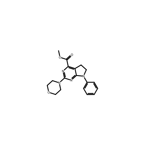 COC(=O)c1nc(N2CCOCC2)nc2c1CCN2c1ccccc1